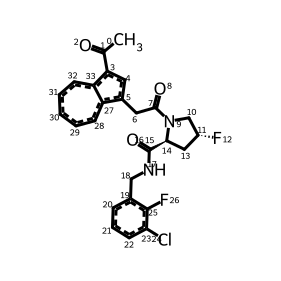 CC(=O)c1cc(CC(=O)N2C[C@H](F)C[C@H]2C(=O)NCc2cccc(Cl)c2F)c2cccccc1-2